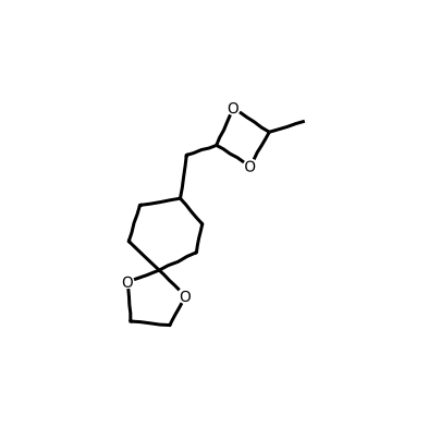 CC1OC(CC2CCC3(CC2)OCCO3)O1